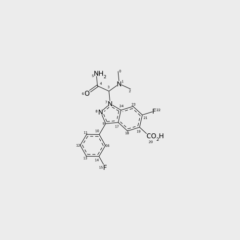 CN(C)C(C(N)=O)n1nc(-c2cccc(F)c2)c2cc(C(=O)O)c(F)cc21